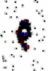 C=CC(=O)N1CC(OC[C@H](C(=O)[N+]2=CC[C@@]23Cc2nc(cs2)-c2ccc4c(c2)c(c(-c2cccnc2[C@H](C)OC)n4CC)CC(C)(C)COC(=O)N2CCCN(N2)C3=O)C(C)C)C1